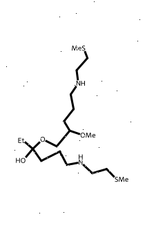 CCC(O)(CCCNCCSC)OCC(CCCNCCSC)OC